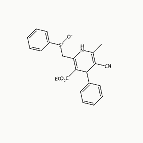 CCOC(=O)C1=C(C[S+]([O-])c2ccccc2)NC(C)=C(C#N)C1c1ccccc1